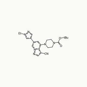 CCn1cc(-c2cc(N3CCN(C(=O)OC(C)(C)C)CC3)c3c(C#N)cnn3c2)cn1